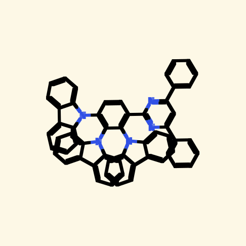 c1ccc(-c2cc(-c3ccccc3)nc(-c3ccc(-n4c5ccccc5c5ccccc54)c(-n4c5ccccc5c5ccccc54)c3-n3c4ccccc4c4ccccc43)n2)cc1